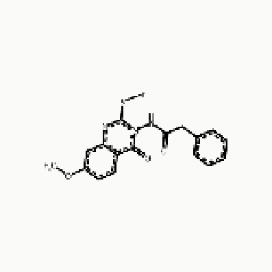 CCSc1nc2cc(OC(F)(F)F)ccc2c(=O)n1NC(=O)Cc1ccccc1